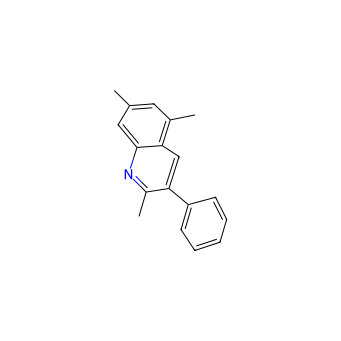 Cc1cc(C)c2cc(-c3ccccc3)c(C)nc2c1